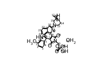 Cc1cccc2c(C3=C(c4nc(N5CCNC6(CC6)C5)cc5ccccc45)C(=O)N(COP(=O)(O)O)C3=O)c[nH]c12.O